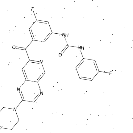 O=C(Nc1cccc(F)c1)Nc1cc(F)cc(C(=O)c2cc3nc(N4CCOCC4)cnc3cn2)c1